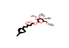 CCCCOCC1OC(OCC[C@H](O)CCc2ccc(C)cc2)C(OCCCC)C(OCCCC)C1OCCCC